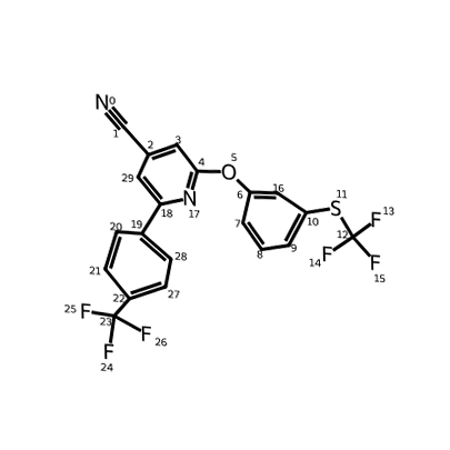 N#Cc1cc(Oc2cccc(SC(F)(F)F)c2)nc(-c2ccc(C(F)(F)F)cc2)c1